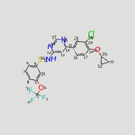 FC(F)(F)Oc1cccc(SNc2cc(-c3ccc(OC4CC4)c(Cl)c3)ncn2)c1